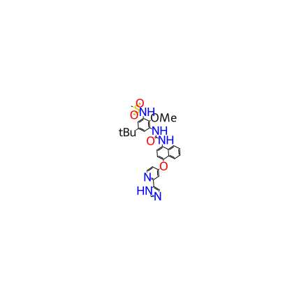 COc1c(NC(=O)Nc2ccc(Oc3ccnc(-c4cnc[nH]4)c3)c3ccccc23)cc(C(C)(C)C)cc1NS(C)(=O)=O